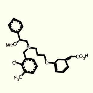 CO[C@H](CN(CCCOC1=CC=C/C(=C\C(=O)O)C1)Cc1cccc(C(F)(F)F)c1Cl)c1ccccc1